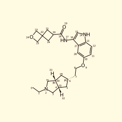 CCN1C[C@H]2C[C@@H](CCOc3ccc4[nH]cc(NC(=O)C5CC6(COC6)C5)c4c3)C[C@H]2C1